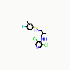 Cc1cc(SNCC(C)CNc2c(Cl)cncc2Cl)ccc1F